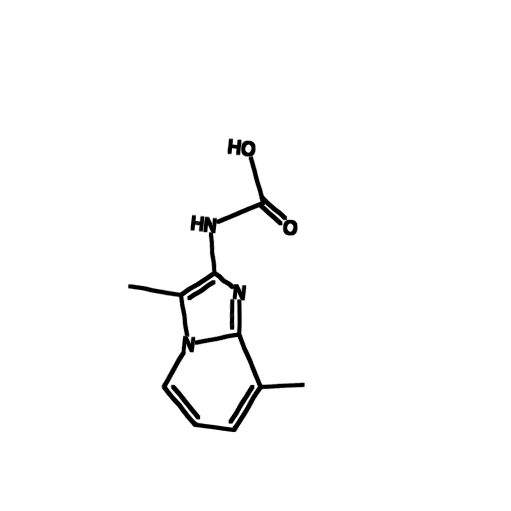 Cc1cccn2c(C)c(NC(=O)O)nc12